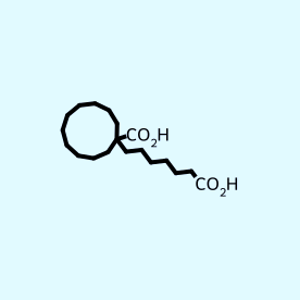 O=C(O)CCCCCCC1(C(=O)O)CCCCCCCCCC1